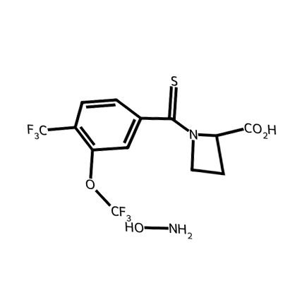 NO.O=C(O)C1CCN1C(=S)c1ccc(C(F)(F)F)c(OC(F)(F)F)c1